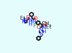 CCC(=O)N[C@@H](C(=O)N1CCN(Cc2ccccc2)CC1)[C@@H](C)c1ccc(NC(=O)[C@@H](NC(=O)c2ccnn2CC)C2CCCCC2)c(F)c1